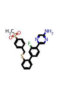 CS(=O)(=O)c1ccc(CSc2ccccc2-c2ccc(-c3cnc(N)cn3)c(F)c2)cc1